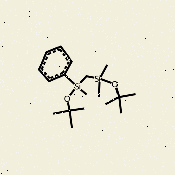 CC(C)(C)O[Si](C)(C)C[Si](C)(OC(C)(C)C)c1ccccc1